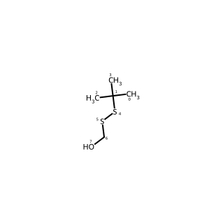 CC(C)(C)SSCO